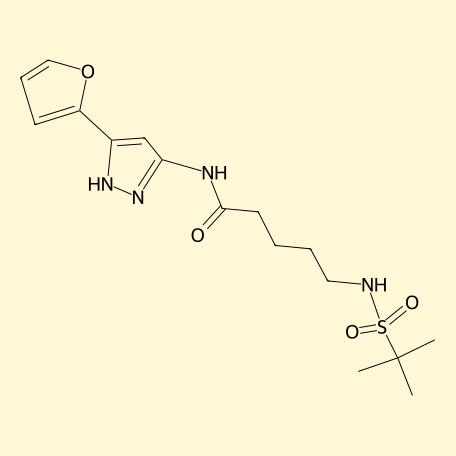 CC(C)(C)S(=O)(=O)NCCCCC(=O)Nc1cc(-c2ccco2)[nH]n1